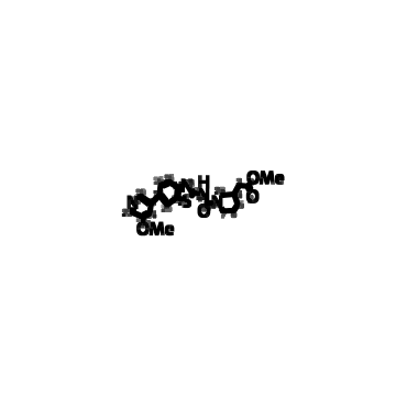 COC(=O)CC1CCCN(C(=O)Nc2nc3ccc(-c4cncc(OC)c4)cc3s2)C1